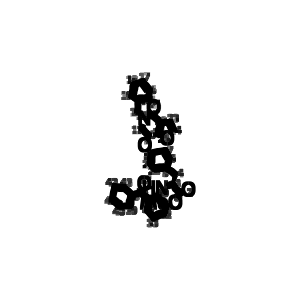 COC(=O)[C@H](Cc1ccc(OCCN(Cc2ccccc2)C(=O)c2ccoc2)cc1)Nc1ccccc1C(=O)c1ccccc1